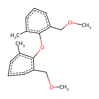 COCc1cccc(C)c1Oc1c(C)cccc1COC